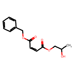 CC(O)COC(=O)/C=C\C(=O)OCc1ccccc1